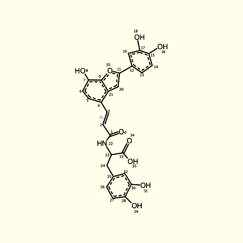 O=C(/C=C/c1ccc(O)c2oc(-c3ccc(O)c(O)c3)cc12)NC(Cc1ccc(O)c(O)c1)C(=O)O